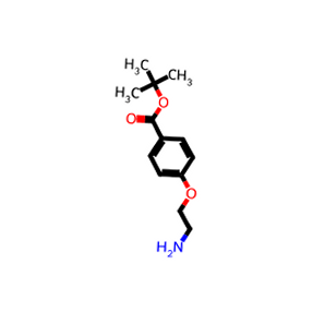 CC(C)(C)OC(=O)c1ccc(OCCN)cc1